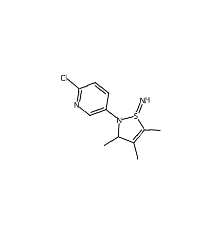 CC1=C(C)S(=N)N(c2ccc(Cl)nc2)C1C